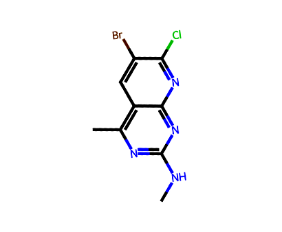 CNc1nc(C)c2cc(Br)c(Cl)nc2n1